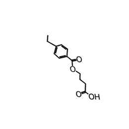 CCc1ccc(C(=O)OCCCC(=O)O)cc1